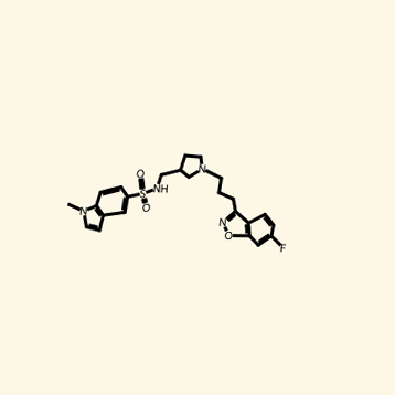 Cn1ccc2cc(S(=O)(=O)NCC3CCN(CCCc4noc5cc(F)ccc45)C3)ccc21